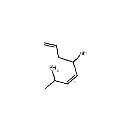 C=CCC(/C=C\C(C)P)CCC